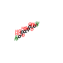 Cc1cc2c(C(=O)c3ccc(C(F)(F)F)cc3)c(O)c(O)cc2c(O)c1-c1c(C)cc2c(C(=O)c3ccc(C(F)(F)F)cc3)c(O)c(O)cc2c1O